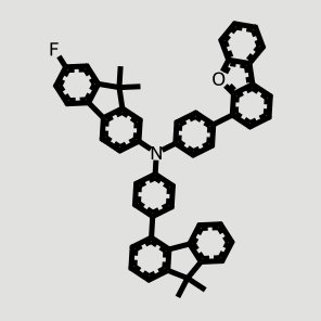 CC1(C)c2cc(F)ccc2-c2ccc(N(c3ccc(-c4cccc5c4-c4ccccc4C5(C)C)cc3)c3ccc(-c4cccc5c4oc4ccccc45)cc3)cc21